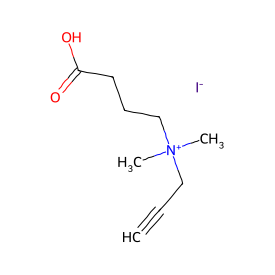 C#CC[N+](C)(C)CCCC(=O)O.[I-]